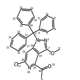 COc1nn(C(c2ccccc2)(c2ccccc2)c2ccccc2)c2cc(Cl)nc(C(C)=O)c12